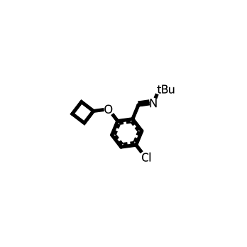 CC(C)(C)N=Cc1cc(Cl)ccc1OC1CCC1